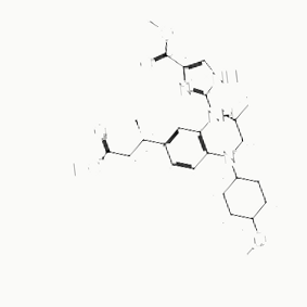 COC(=O)c1c[nH]c(Nc2cc([C@H](C)CC(=O)O)ccc2N(CC(C)C)C2CCC(OC)CC2)n1